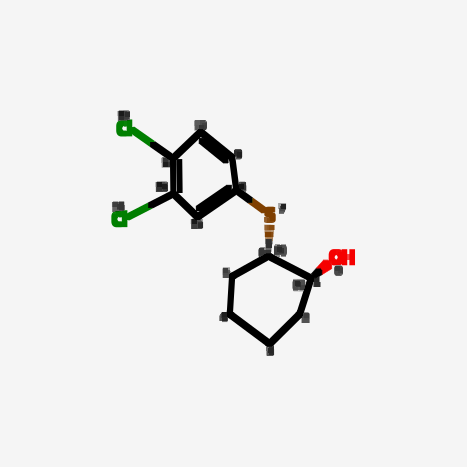 O[C@H]1CCCC[C@@H]1Sc1ccc(Cl)c(Cl)c1